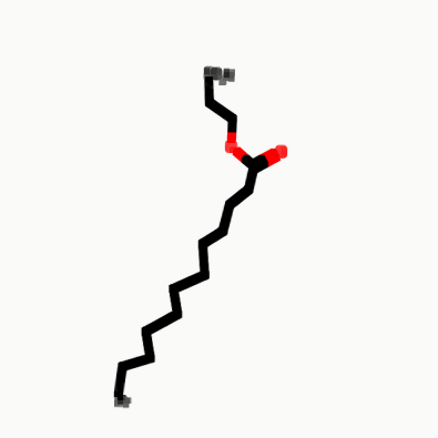 CC(C)CCCCCCCCCCC(=O)OCCS(=O)(=O)O